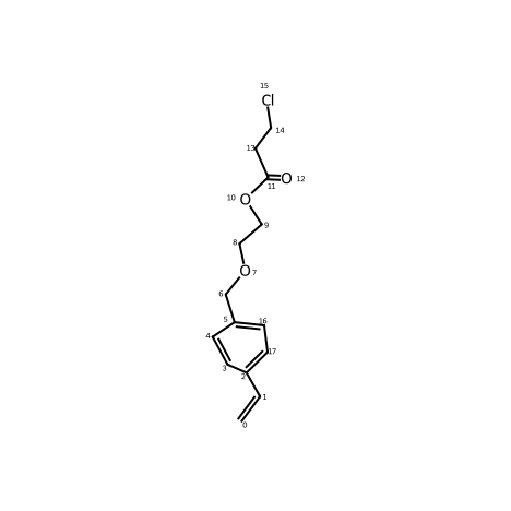 C=Cc1ccc(COCCOC(=O)CCCl)cc1